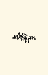 CCCCC1(CC)C(=O)[SH]c2cc(OCC(=O)N[C@@H](C(=O)NCCP(C)(=O)O)c3ccccc3)c(SC)cc2N(c2ccccc2)C1=O